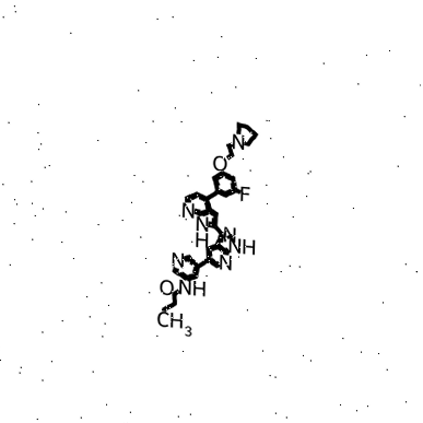 CCCC(=O)Nc1cncc(-c2cnc3[nH]nc(-c4cc5c(-c6cc(F)cc(OCCN7CCCC7)c6)ccnc5[nH]4)c3c2)c1